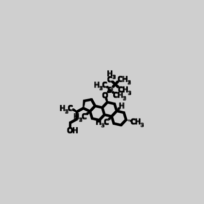 C[C@@H]1CC[C@]2(C)C3CC[C@@]4(C)C(CC[C@@H]4[C@H](C)CCO)C3[C@@H](O[Si](C)(C)C(C)(C)C)C[C@@H]2C1